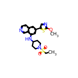 CCS(=O)(=O)N1CCC(Nc2cc(-c3cnc(OC)s3)cc3ccncc23)CC1